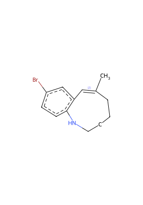 C/C1=C/c2cc(Br)ccc2NCCCC1